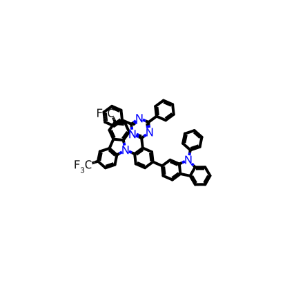 FC(F)(F)c1ccc2c(c1)c1cc(C(F)(F)F)ccc1n2-c1ccc(-c2ccc3c4ccccc4n(-c4ccccc4)c3c2)cc1-c1nc(-c2ccccc2)nc(-c2ccccc2)n1